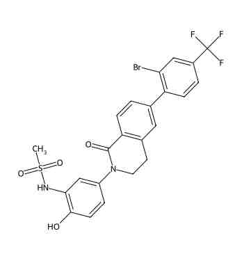 CS(=O)(=O)Nc1cc(N2CCc3cc(-c4ccc(C(F)(F)F)cc4Br)ccc3C2=O)ccc1O